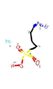 F.NCCS(=O)(=O)O